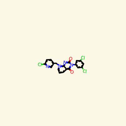 O=c1nc2n(Cc3ccc(Cl)nc3)cccc-2c(=O)n1-c1cc(Cl)cc(Cl)c1